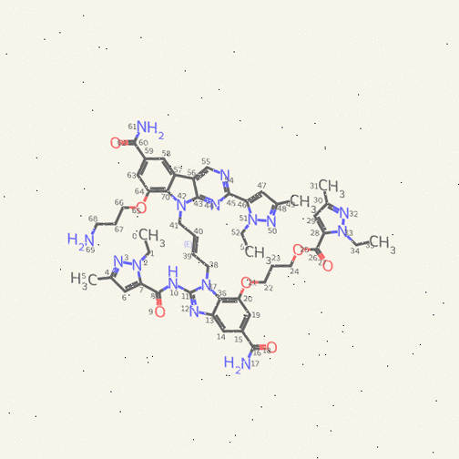 CCn1nc(C)cc1C(=O)Nc1nc2cc(C(N)=O)cc(OCCCOC(=O)c3cc(C)nn3CC)c2n1C/C=C/Cn1c2nc(-c3cc(C)nn3CC)ncc2c2cc(C(N)=O)cc(OCCCN)c21